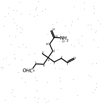 C=CCCC(C)(CCC=O)CCC(=C)N